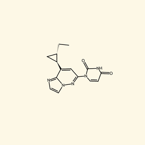 CC[C@H]1C[C@@H]1c1cc(-n2ccc(=O)[nH]c2=O)nn2ccnc12